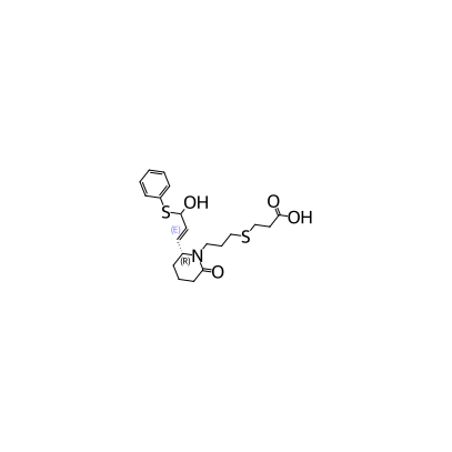 O=C(O)CCSCCCN1C(=O)CCC[C@@H]1/C=C/C(O)Sc1ccccc1